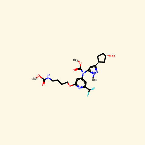 CC(C)(C)OC(=O)NCCCCOc1cc(N(C(=O)OC(C)(C)C)c2cc([C@H]3CC[C@@H](O)C3)nn2C(C)(C)C)cc(C(F)F)n1